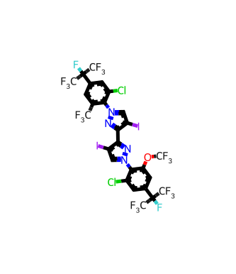 FC(F)(F)Oc1cc(C(F)(C(F)(F)F)C(F)(F)F)cc(Cl)c1-n1cc(I)c(-c2nn(-c3c(Cl)cc(C(F)(C(F)(F)F)C(F)(F)F)cc3C(F)(F)F)cc2I)n1